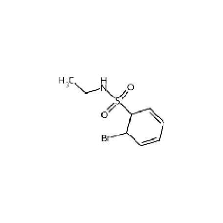 CCNS(=O)(=O)C1C=CC=CC1Br